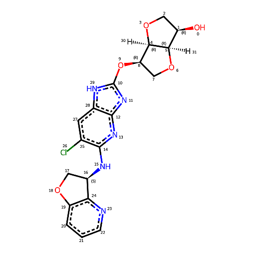 O[C@@H]1CO[C@H]2[C@@H]1OC[C@H]2Oc1nc2nc(N[C@@H]3COc4cccnc43)c(Cl)cc2[nH]1